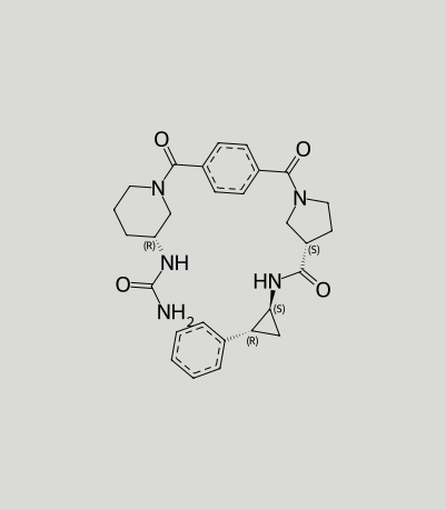 NC(=O)N[C@@H]1CCCN(C(=O)c2ccc(C(=O)N3CC[C@H](C(=O)N[C@H]4C[C@@H]4c4ccccc4)C3)cc2)C1